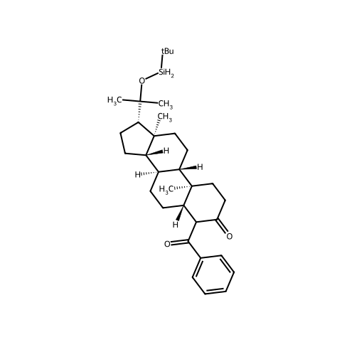 CC(C)(C)[SiH2]OC(C)(C)[C@H]1CC[C@H]2[C@@H]3CC[C@H]4C(C(=O)c5ccccc5)C(=O)CC[C@]4(C)[C@H]3CC[C@]12C